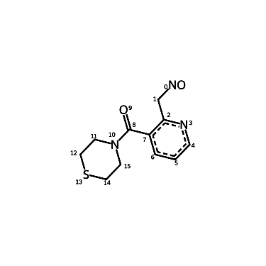 O=NCc1ncccc1C(=O)N1CCSCC1